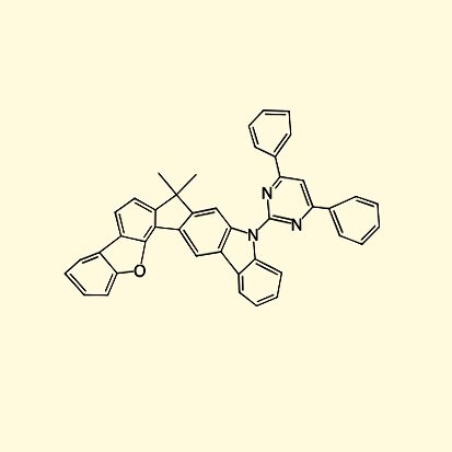 CC1(C)c2cc3c(cc2-c2c1ccc1c2oc2ccccc21)c1ccccc1n3-c1nc(-c2ccccc2)cc(-c2ccccc2)n1